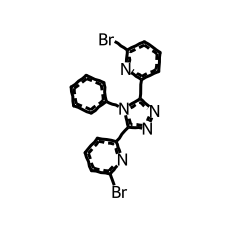 Brc1cccc(-c2nnc(-c3cccc(Br)n3)n2-c2ccccc2)n1